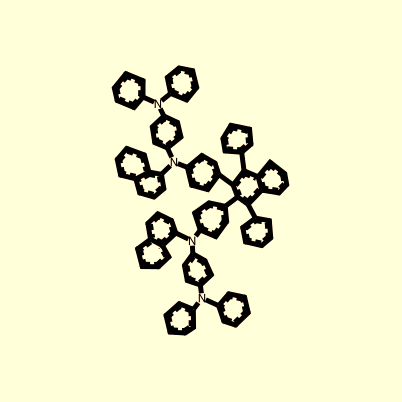 c1ccc(-c2c(-c3ccc(N(c4ccc(N(c5ccccc5)c5ccccc5)cc4)c4cccc5ccccc45)cc3)c(-c3ccc(N(c4ccc(N(c5ccccc5)c5ccccc5)cc4)c4cccc5ccccc45)cc3)c(-c3ccccc3)c3ccccc23)cc1